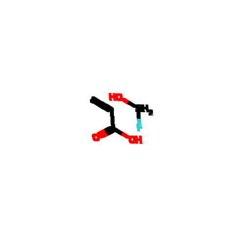 C=CC(=O)O.O[SiH2]F